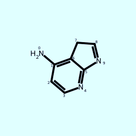 Nc1ccnc2c1CC=N2